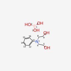 OB(O)O.OCCN(CCO)c1ccccc1